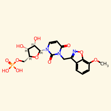 COc1cccc2c(Cn3c(=O)ccn([C@@H]4O[C@H](COP(=O)(O)O)[C@H](O)[C@@H]4O)c3=O)noc12